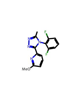 COc1cccc(-c2nnc(C)n2-c2c(F)cccc2F)n1